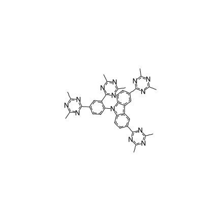 Cc1nc(C)nc(-c2ccc(-n3c4ccc(-c5nc(C)nc(C)n5)cc4c4cc(-c5nc(C)nc(C)n5)ccc43)c(-c3nc(C)nc(C)n3)c2)n1